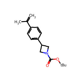 C=C(C)c1ccc(C2CN(C(=O)OC(C)(C)C)C2)cc1